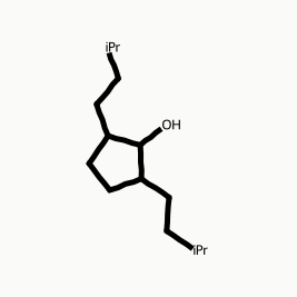 CC(C)CCC1CCC(CCC(C)C)C1O